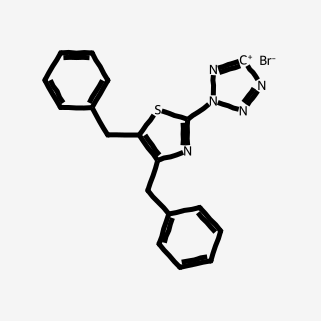 [Br-].[C+]1=NN(c2nc(Cc3ccccc3)c(Cc3ccccc3)s2)N=N1